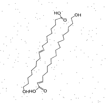 O=C(O)/C=C/CCCCCCCCCCCCCCCO.O=C(O)CCCCCCCC=CCCCCCCCCO